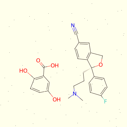 CN(C)CCC[C@@]1(c2ccc(F)cc2)OCc2cc(C#N)ccc21.O=C(O)c1cc(O)ccc1O